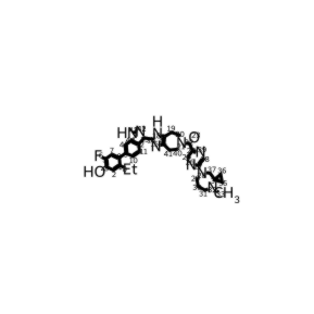 CCc1cc(O)c(F)cc1-c1ccc2c(-c3nc4c([nH]3)CCN(C(=O)c3cnc(N5CCCN(C)C6(CC6)C5)cn3)CC4)n[nH]c2c1